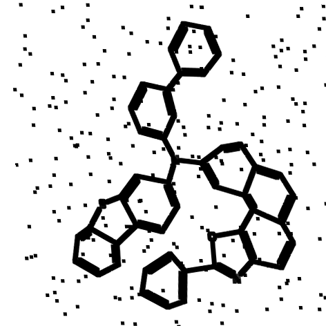 c1ccc(-c2cccc(N(c3ccc4c(c3)sc3ccccc34)c3ccc4ccc5ccc6nc(-c7ccccc7)oc6c5c4c3)c2)cc1